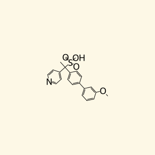 COc1cccc(-c2ccc(C(C)(c3ccncc3)S(=O)(=O)O)cc2)c1